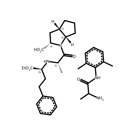 CCOC(=O)[C@H](CCc1ccccc1)N[C@@H](C)C(=O)N1[C@H](C(=O)O)C[C@@H]2CCC[C@@H]21.Cc1cccc(C)c1NC(=O)C(C)N